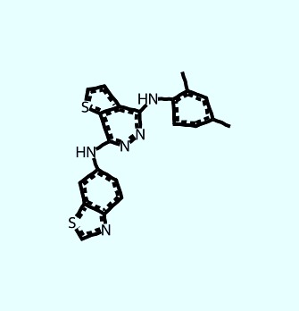 Cc1ccc(Nc2nnc(Nc3ccc4ncsc4c3)c3sccc23)c(C)c1